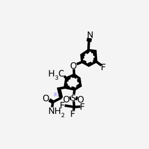 Cc1c(Oc2cc(F)cc(C#N)c2)ccc(S(=O)(=O)C(F)(F)F)c1/C=C/C(N)=O